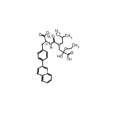 CCOC(O)(CN(CC(C)C)C(=O)N[C@@H](Cc1ccc(-c2ccc3ccccc3c2)cc1)C(=O)O)C(=O)O